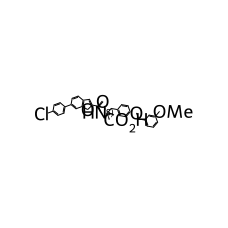 COc1cccc(COc2ccc(C[C@H](NC(=O)c3cc4ccc(-c5ccc(Cl)cc5)cc4o3)C(=O)O)cc2)c1